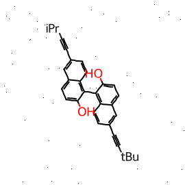 CC(C)C#Cc1ccc2c(-c3c(O)ccc4cc(C#CC(C)(C)C)ccc34)c(O)ccc2c1